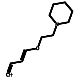 [CH]=C/C=[C]/OCCN1CCCCC1